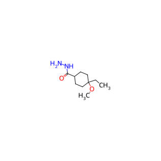 CCC1(OC)CCC(C(=O)NN)CC1